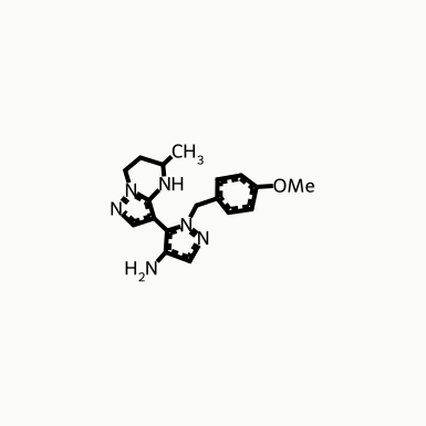 COc1ccc(Cn2ncc(N)c2-c2cnn3c2NC(C)CC3)cc1